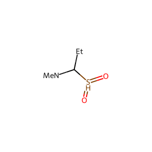 [CH2]CC(NC)[SH](=O)=O